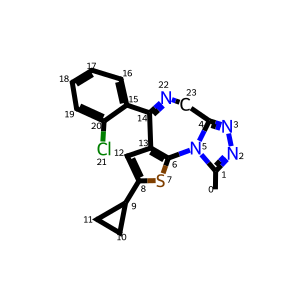 Cc1nnc2n1-c1sc(C3CC3)cc1C(c1ccccc1Cl)=NC2